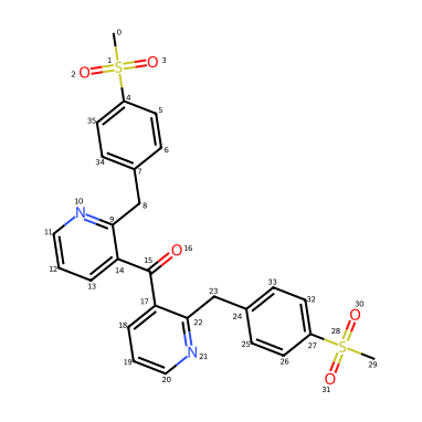 CS(=O)(=O)c1ccc(Cc2ncccc2C(=O)c2cccnc2Cc2ccc(S(C)(=O)=O)cc2)cc1